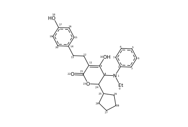 CCN(c1ccccc1)C1C(O)=C(CCc2ccc(O)cc2)C(=O)OC1C1CCCC1